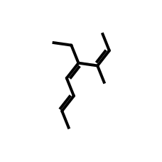 C\C=C(C)/C(=C\C=C\C)CC